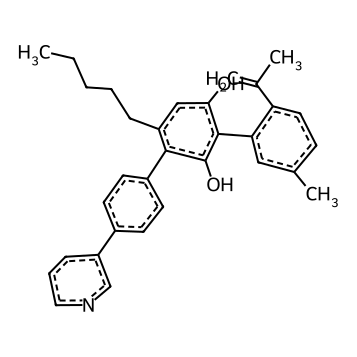 C=C(C)c1ccc(C)cc1-c1c(O)cc(CCCCC)c(-c2ccc(-c3cccnc3)cc2)c1O